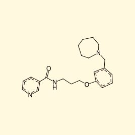 O=C(NCCCOc1cccc(CN2CCCCCC2)c1)c1cccnc1